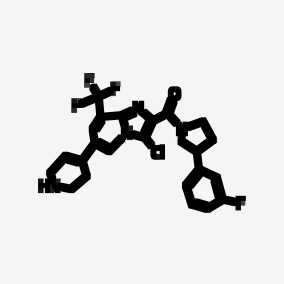 O=C(c1nc2c(C(F)(F)F)cc(C3=CCNCC3)cn2c1Cl)N1CCC(c2cccc(F)c2)C1